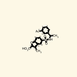 CC(=O)c1cccc(C(C)NS(=O)(=O)c2ccc3oc(C(=O)O)c(C)c3c2)c1